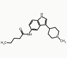 CCCCC(=O)Nc1ccc2[nH]cc(C3CCN(C)CC3)c2c1